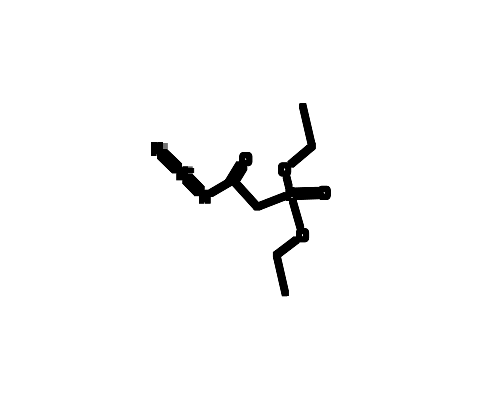 CCOP(=O)(CC(=O)N=[N+]=[N-])OCC